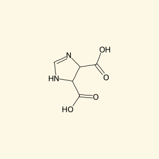 O=C(O)C1N=CNC1C(=O)O